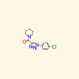 O=C(c1cn(-c2ccc(Cl)cc2)nn1)N1CCCCC1